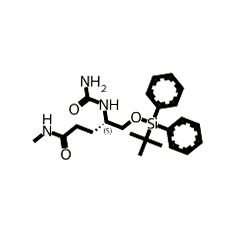 CNC(=O)CC[C@@H](CO[Si](c1ccccc1)(c1ccccc1)C(C)(C)C)NC(N)=O